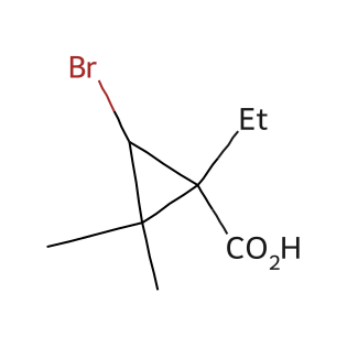 CCC1(C(=O)O)C(Br)C1(C)C